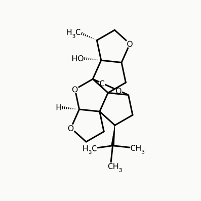 C[C@@H]1COC2CC34C5C[C@@H](C(C)(C)C)C36CCO[C@H]6OC4(CO5)[C@]21O